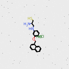 Cl.Cl.N[C@@H](CS)CNc1cccc(OCc2cccc3ccccc23)c1